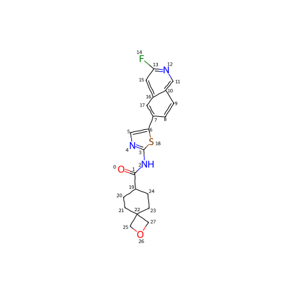 O=C(Nc1ncc(-c2ccc3cnc(F)cc3c2)s1)C1CCC2(CC1)COC2